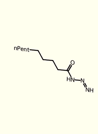 CCCCCCCCCC(=O)NN=N